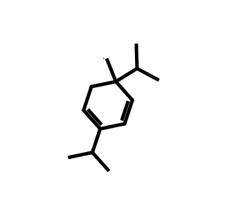 [CH2]C1(C(C)C)C=CC(C(C)C)=CC1